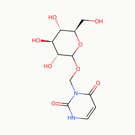 O=c1cc[nH]c(=O)n1COC1O[C@H](CO)[C@@H](O)[C@H](O)[C@H]1O